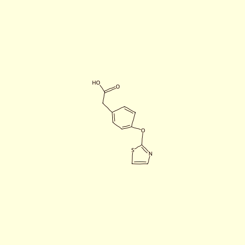 O=C(O)Cc1ccc(Oc2nccs2)cc1